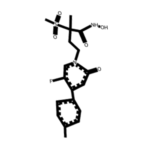 Cc1ccc(-c2cc(=O)n(CCC(C)(C(=O)NO)S(C)(=O)=O)cc2F)cc1